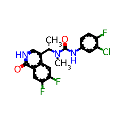 C[C@@H](c1c[nH]c(=O)c2cc(F)c(F)cc12)N(C)C(=O)Nc1ccc(F)c(Cl)c1